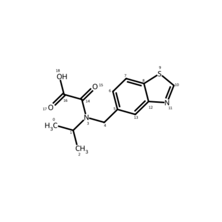 CC(C)N(Cc1ccc2scnc2c1)C(=O)C(=O)O